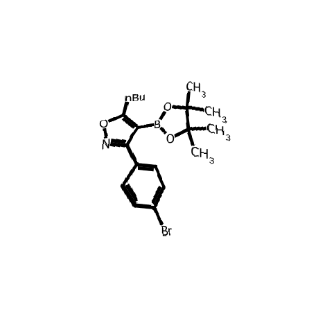 CCCCc1onc(-c2ccc(Br)cc2)c1B1OC(C)(C)C(C)(C)O1